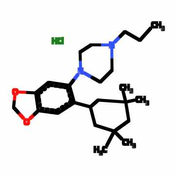 CCCN1CCN(c2cc3c(cc2C2CC(C)(C)CC(C)(C)C2)OCO3)CC1.Cl